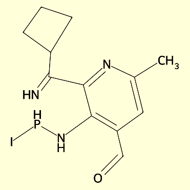 Cc1cc(C=O)c(NPI)c(C(=N)C2CCC2)n1